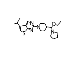 CCOC(C1CCN(c2ncc3c(C(C)C)csc3n2)CC1)N1CCCC1